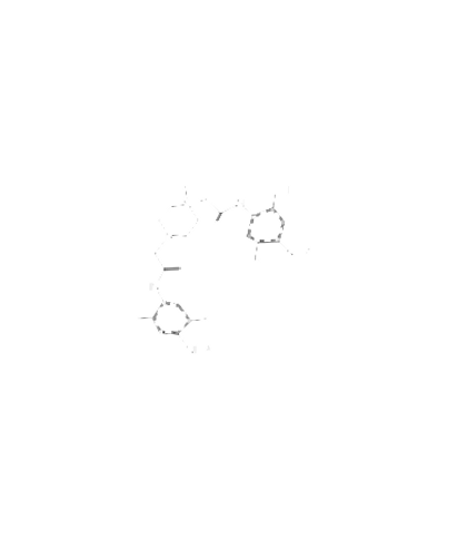 CC(=O)Nc1cc(O)c(NC(=O)CN2CC[N+](C)(CC(=O)Nc3cc(Cl)c(NC(C)=O)cc3O)CC2)cc1Cl